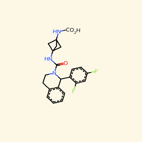 O=C(O)NC12CC(NC(=O)N3CCc4ccccc4C3c3ccc(F)cc3F)(C1)C2